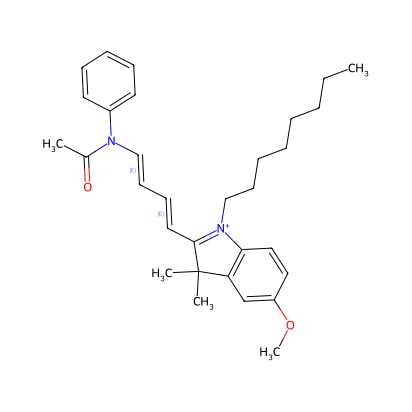 CCCCCCCC[N+]1=C(/C=C/C=C/N(C(C)=O)c2ccccc2)C(C)(C)c2cc(OC)ccc21